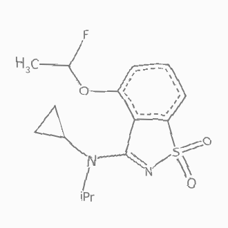 CC(F)Oc1cccc2c1C(N(C(C)C)C1CC1)=NS2(=O)=O